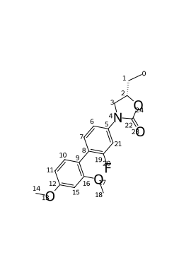 CC[C@H]1CN(c2ccc(-c3ccc(OC)cc3OC)c(F)c2)C(=O)O1